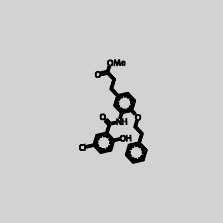 COC(=O)CCc1ccc(OCCc2ccccc2)c(NC(=O)c2cc(Cl)ccc2O)c1